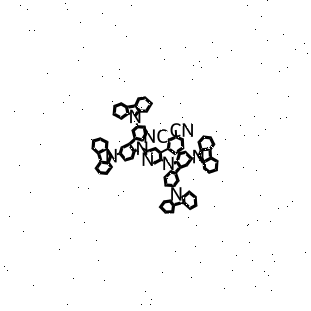 N#Cc1cccc(-c2cc(-n3c4ccc(-n5c6ccccc6c6ccccc65)cc4c4cc(-n5c6ccccc6c6ccccc65)ccc43)ncc2-n2c3ccc(-n4c5ccccc5c5ccccc54)cc3c3cc(-n4c5ccccc5c5ccccc54)ccc32)c1C#N